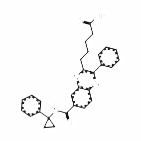 O=C(O)CCCCc1nc2cc(C(=O)NC3(c4ccccc4)CC3)ccc2nc1-c1ccccc1